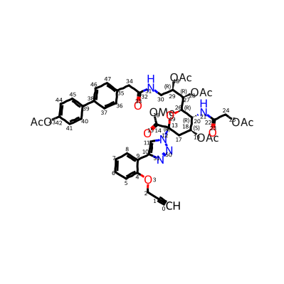 C#CCOc1ccccc1-c1cn([C@]2(C(=O)OC)C[C@H](OC(C)=O)[C@@H](NC(=O)COC(C)=O)[C@H]([C@H](OC(C)=O)[C@@H](CNC(=O)Cc3ccc(-c4ccc(OC(C)=O)cc4)cc3)OC(C)=O)O2)nn1